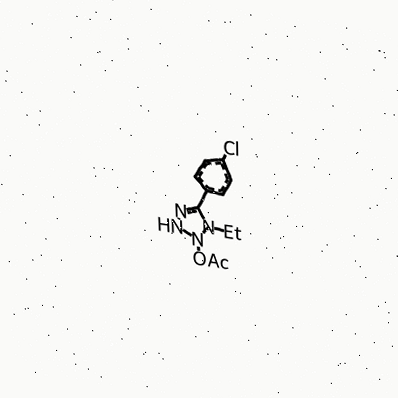 CCN1C(c2ccc(Cl)cc2)=NNN1OC(C)=O